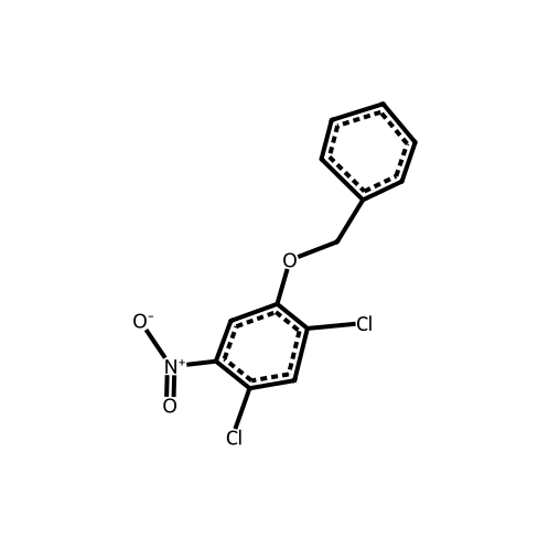 O=[N+]([O-])c1cc(OCc2ccccc2)c(Cl)cc1Cl